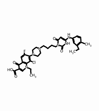 CCc1cc(Nc2cc(=O)n(CCCCN3CCN(c4c(F)cc5c(=O)c(C(=O)O)cn(CC)c5c4Cl)CC3)c(=O)[nH]2)ccc1C